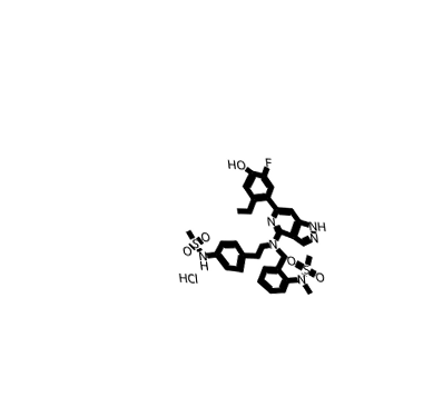 CCc1cc(O)c(F)cc1-c1cc2[nH]ncc2c(N(CCc2ccc(NS(C)(=O)=O)cc2)Cc2ccccc2N(C)S(C)(=O)=O)n1.Cl